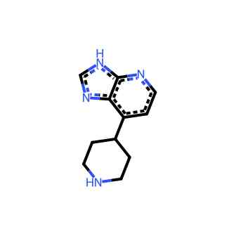 c1cc(C2CCNCC2)c2nc[nH]c2n1